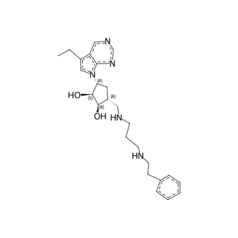 CCc1cn([C@@H]2C[C@H](CNCCCNCCc3ccccc3)[C@@H](O)[C@H]2O)c2ncncc12